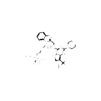 CS(C)(C)CCOCn1c(CNc2nc(N3CCOCC3)nc3c(C(F)(F)F)cnn23)nc2ccccc21